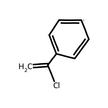 C=C(Cl)c1cc[c]cc1